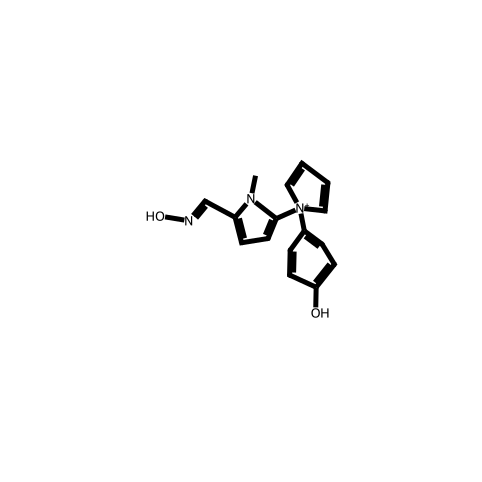 Cn1c(C=NO)ccc1[N+]1(c2ccc(O)cc2)C=CC=C1